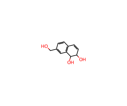 OCc1ccc2c(c1)C(O)C(O)C=C2